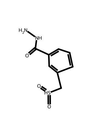 NNC(=O)c1cccc(C[SH](=O)=O)c1